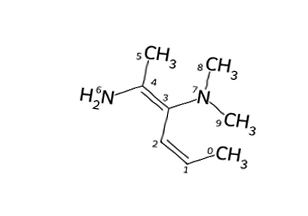 C/C=C\C(=C(\C)N)N(C)C